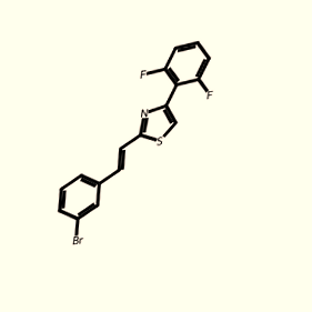 Fc1cccc(F)c1-c1csc(/C=C/c2cccc(Br)c2)n1